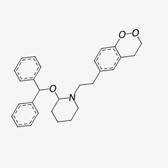 c1ccc(C(OC2CCCCN2CCc2ccc3c(c2)CCOO3)c2ccccc2)cc1